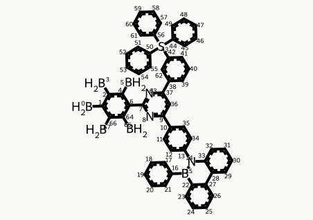 Bc1c(B)c(B)c(-c2nc(-c3ccc(N4B(c5ccccc5)c5ccccc5-c5ccccc54)cc3)cc(-c3cccc(S(c4ccccc4)(c4ccccc4)c4ccccc4)c3)n2)c(B)c1B